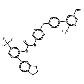 C=Cc1cnc(N)c(-c2ccc(Oc3ncc(NC(=O)Nc4cc(C(F)(F)F)ccc4-c4ccc5c(c4)CCC5)cn3)cc2)c1